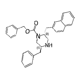 O=C(OCc1ccccc1)N1C[C@H](Cc2ccccc2)NC[C@H]1Cc1ccc2ccccc2c1